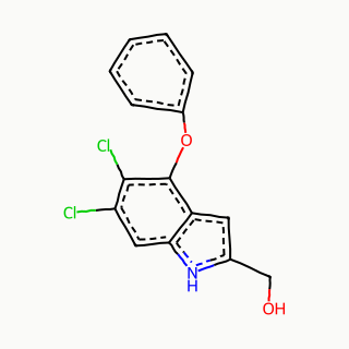 OCc1cc2c(Oc3ccccc3)c(Cl)c(Cl)cc2[nH]1